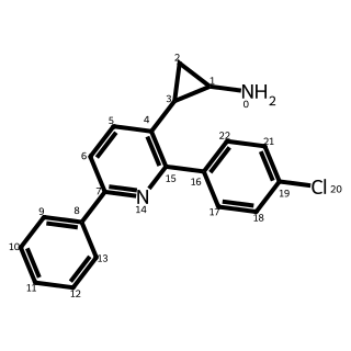 NC1CC1c1ccc(-c2ccccc2)nc1-c1ccc(Cl)cc1